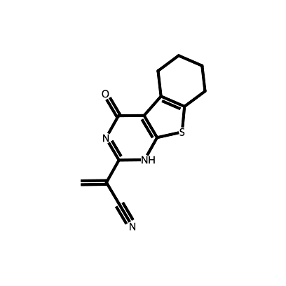 C=C(C#N)c1nc(=O)c2c3c(sc2[nH]1)CCCC3